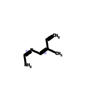 C=C/C(C)=C\N=C/N